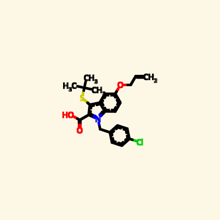 C=CCOc1ccc2c(c1)c(SC(C)(C)C)c(C(=O)O)n2Cc1ccc(Cl)cc1